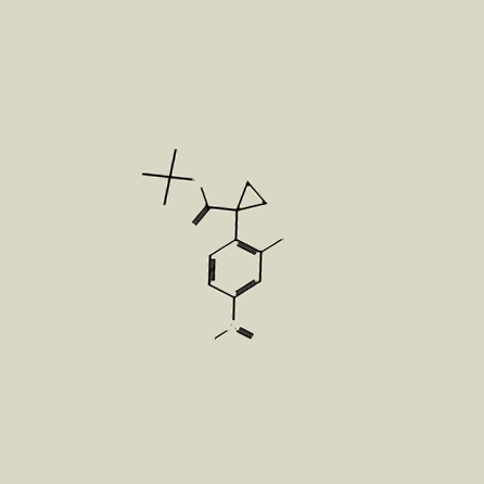 CC(C)(C)OC(=O)C1(c2ccc([N+](=O)[O-])cc2F)CC1